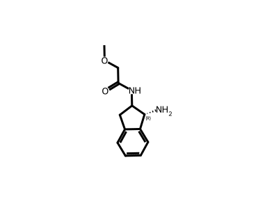 COCC(=O)NC1Cc2ccccc2[C@H]1N